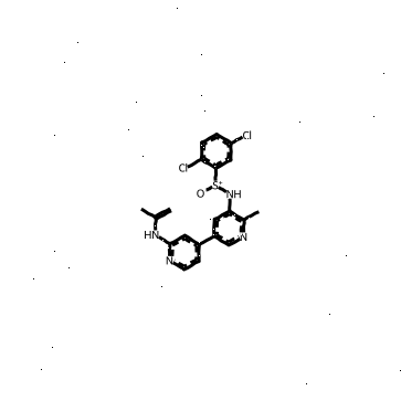 C=C(C)Nc1cc(-c2cnc(C)c(N[S+]([O-])c3cc(Cl)ccc3Cl)c2)ccn1